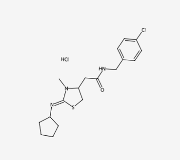 CN1C(=NC2CCCC2)SCC1CC(=O)NCc1ccc(Cl)cc1.Cl